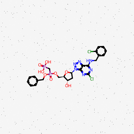 O=P(O)(O)CP(=O)(OCc1ccccc1)OC[C@H]1O[C@@H](n2nnc3c(NCc4ccccc4Cl)nc(Cl)nc32)C[C@@H]1O